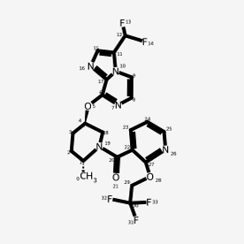 C[C@@H]1CC[C@@H](Oc2nccn3c(C(F)F)cnc23)CN1C(=O)c1cccnc1OCC(F)(F)F